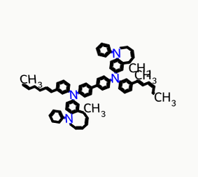 C=C1/C=C\CCN(c2ccccc2)c2ccc(N(c3ccc(-c4ccc(N(c5cccc(/C=C/CC/C=C\C)c5)c5ccc6c(c5)C(C)/C=C\C=C/CN6C5=CC=CCC5)cc4)cc3)c3cccc(/C(C)=C/C=C\CC)c3)cc21